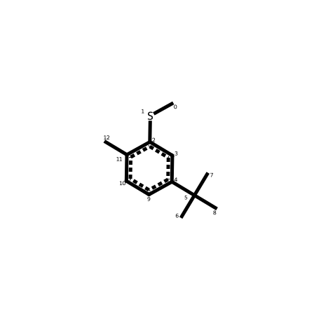 CSc1cc(C(C)(C)C)ccc1C